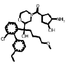 CCc1cccc(-c2c(Cl)cccc2C(O)(CCCCOC)C2CN(C(=O)C3CC(N)C(O)C3)CCO2)c1